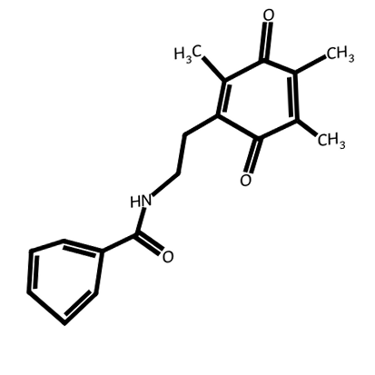 CC1=C(C)C(=O)C(CCNC(=O)c2ccccc2)=C(C)C1=O